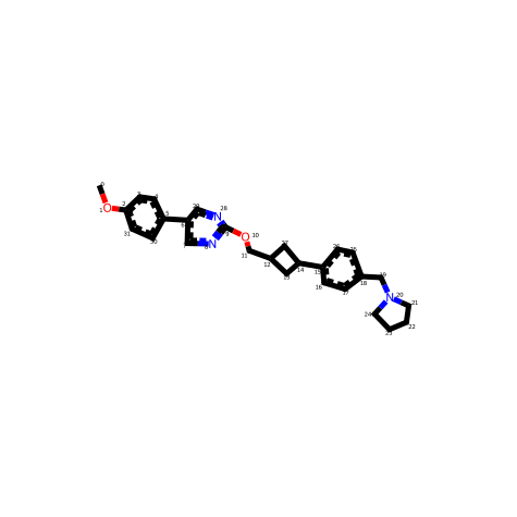 COc1ccc(-c2cnc(OCC3CC(c4ccc(CN5CCCC5)cc4)C3)nc2)cc1